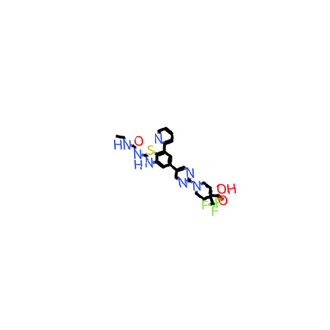 CCNC(=O)Nc1nc2cc(-c3cnc(N4CCC(C(=O)O)(C(F)(F)F)CC4)nc3)cc(-c3ccccn3)c2s1